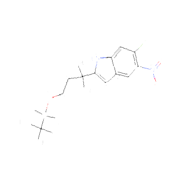 CC(C)(CCO[Si](C)(C)C(C)(C)C)c1cc2cc([N+](=O)[O-])c(F)cc2[nH]1